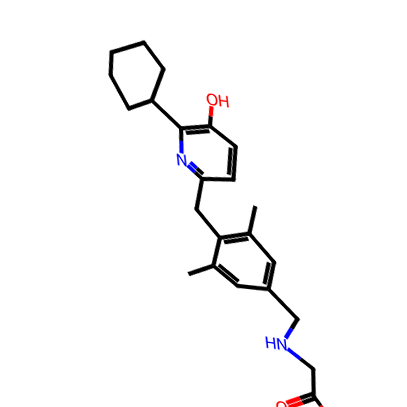 Cc1cc(CNCC(=O)O)cc(C)c1Cc1ccc(O)c(C2CCCCC2)n1